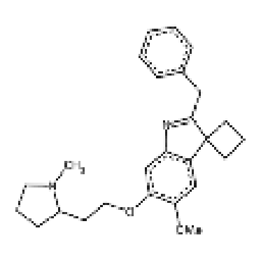 COc1cc2c(cc1OCCC1CCCN1C)N=C(Cc1ccccc1)C21CCC1